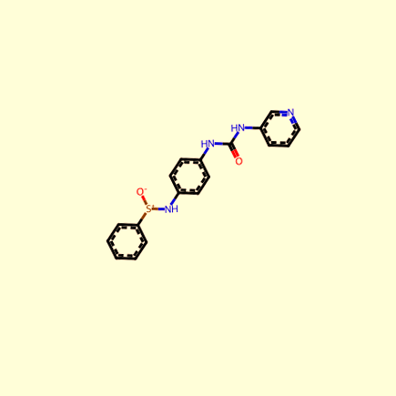 O=C(Nc1ccc(N[S+]([O-])c2ccccc2)cc1)Nc1cccnc1